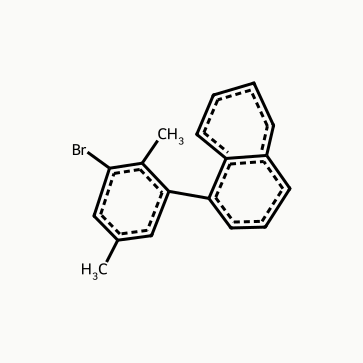 Cc1cc(Br)c(C)c(-c2cccc3ccccc23)c1